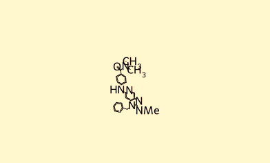 CNc1nc2cnc(Nc3ccc(C(=O)N(C)C)cc3)cc2n1Cc1ccccc1